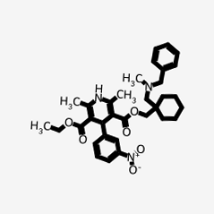 CCOC(=O)C1=C(C)NC(C)=C(C(=O)OCC2(CN(C)Cc3ccccc3)CCCCC2)C1c1cccc([N+](=O)[O-])c1